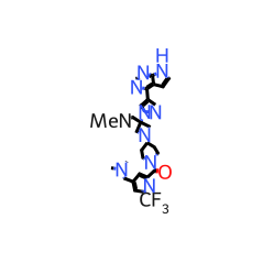 CNCC1(n2cc(-c3ncnc4[nH]ccc34)cn2)CN(C2CCN(C(=O)c3cc(CN(C)C)cc(C(F)(F)F)n3)CC2)C1